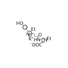 CCc1c(-c2ccc(O)cc2)noc1CCC(=O)Nc1cn(CC)cc1C(=O)[O-].[K+]